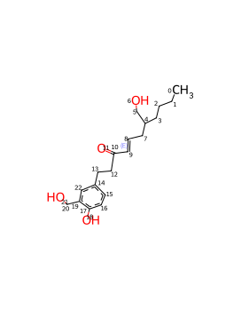 CCCCC(CO)C/C=C/C(=O)CCc1ccc(O)c(CO)c1